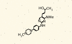 CNc1nc(Nc2ccc(N3CCN(C)CC3)cc2)ncc1/C=C/C(C)O